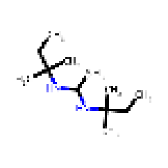 CCC(C)(C)NC([SiH3])NC(C)(C)CC